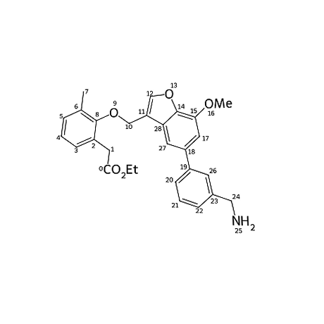 CCOC(=O)Cc1cccc(C)c1OCc1coc2c(OC)cc(-c3cccc(CN)c3)cc12